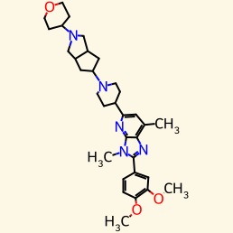 COc1ccc(-c2nc3c(C)cc(C4CCN(C5CC6CN(C7CCOCC7)CC6C5)CC4)nc3n2C)cc1OC